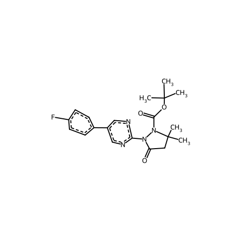 CC(C)(C)OC(=O)N1N(c2ncc(-c3ccc(F)cc3)cn2)C(=O)CC1(C)C